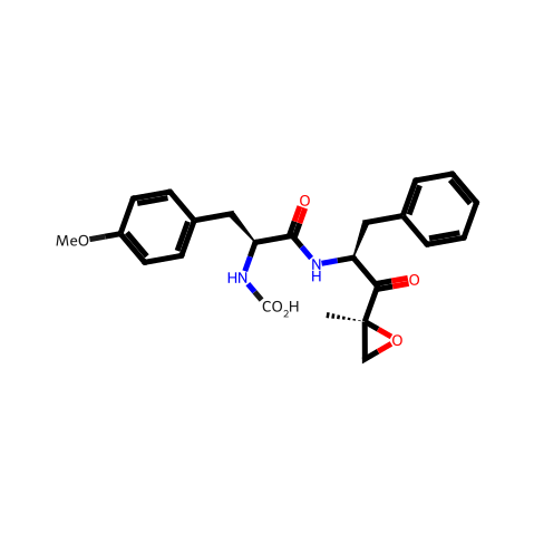 COc1ccc(C[C@H](NC(=O)O)C(=O)N[C@@H](Cc2ccccc2)C(=O)[C@]2(C)CO2)cc1